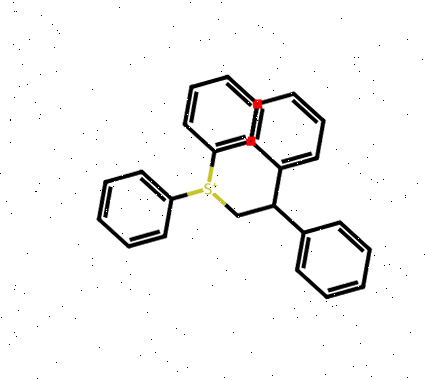 c1ccc(C(C[S+](c2ccccc2)c2ccccc2)c2ccccc2)cc1